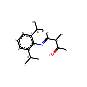 CC(=O)C(C)C(C)=Nc1c(C(C)C)cccc1C(C)C